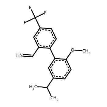 COc1ccc(C(C)C)cc1-c1ccc(C(F)(F)F)cc1C=N